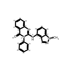 Cn1ncc2c(Nc3nc4ccccc4c(=O)n3-c3ccccc3)cccc21